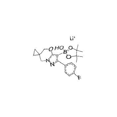 CC1(C)O[B-](O)(c2c(-c3ccc(F)cc3)nn3c2OCC2(CC2)C3)OC1(C)C.[Li+]